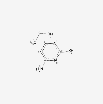 CCO.Nc1ccnc(S)n1